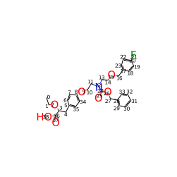 CCOC(Cc1ccc(OCCN(CCOCc2ccc(F)cc2)C(=O)OCc2ccccc2)cc1)C(=O)O